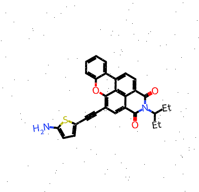 CCC(CC)n1c(=O)c2ccc3c4ccccc4oc4c(C#Cc5ccc(N)s5)cc(c1=O)c2c43